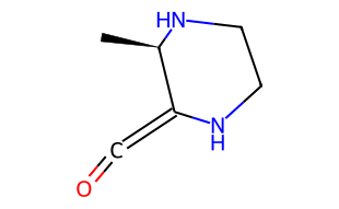 C[C@H]1NCCNC1=C=O